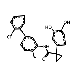 O=C(Nc1cc(-c2ccccc2Cl)ccc1F)C1(c2ccc(O)c(O)c2)CC1